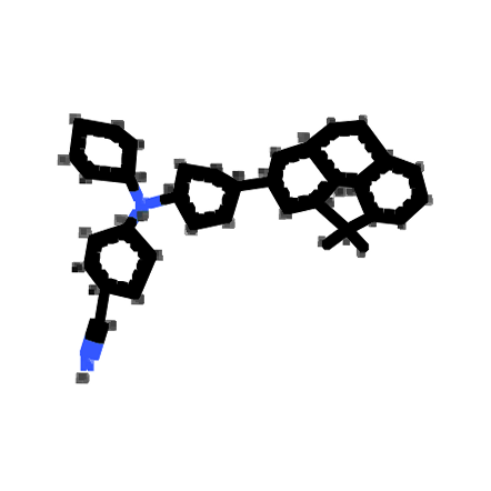 CC1(C)c2cccc3ccc4cc(-c5ccc(N(c6ccccc6)c6ccc(C#N)cc6)cc5)cc1c4c23